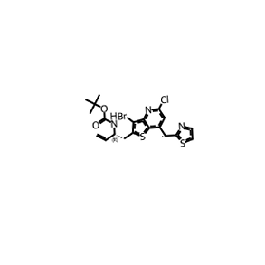 C=C[C@@H](Cc1sc2c([CH]c3nccs3)cc(Cl)nc2c1Br)NC(=O)OC(C)(C)C